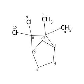 CC1(C)C2CCC(C2)C1(Cl)Cl